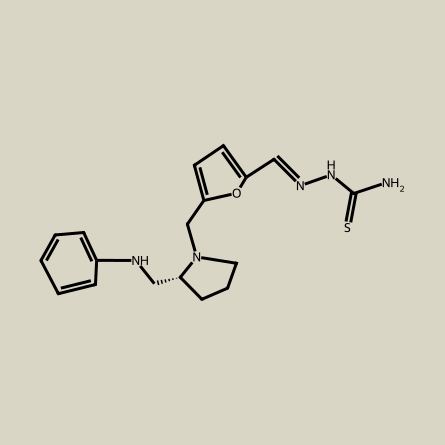 NC(=S)NN=Cc1ccc(CN2CCC[C@@H]2CNc2ccccc2)o1